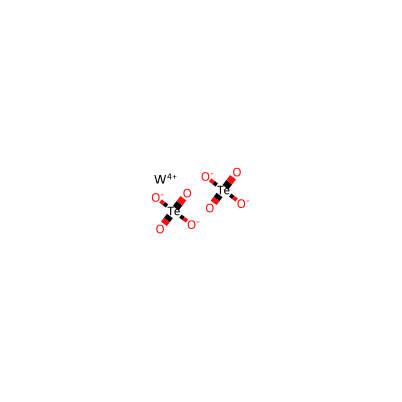 O=[Te](=O)([O-])[O-].O=[Te](=O)([O-])[O-].[W+4]